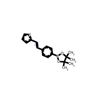 CC1(C)OB(c2ccc(/C=C/c3cccs3)cc2)OC1(C)C